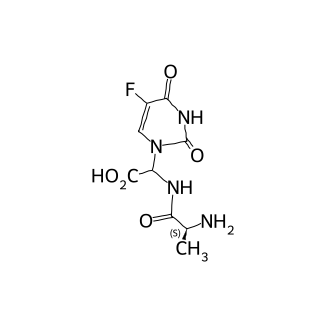 C[C@H](N)C(=O)NC(C(=O)O)n1cc(F)c(=O)[nH]c1=O